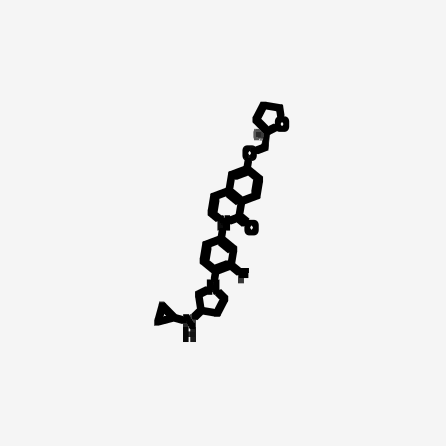 O=c1c2ccc(OC[C@H]3CCCO3)cc2ccn1-c1ccc(N2CCC(NC3CC3)C2)c(F)c1